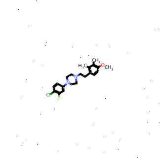 COc1ccc(CCN2CCN(c3ccc(Cl)c(F)c3)CC2)c(C)c1C